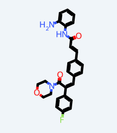 Nc1ccccc1NC(=O)/C=C/c1ccc(C=C(C(=O)N2CCOCC2)c2ccc(F)cc2)cc1